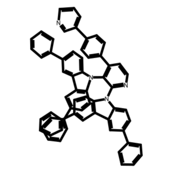 c1ccc(-c2ccc3c(c2)c2cc(-c4ccccc4)ccc2n3-c2nccc(-c3ccc(-c4cccnc4)cc3)c2-n2c3ccc(-c4ccccc4)cc3c3cc(-c4ccccc4)ccc32)cc1